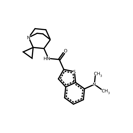 CN(C)c1cccc2cc(C(=O)NC3C4CCN(CC4)C34CC4)sc12